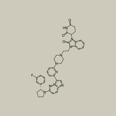 O=C1CCC(n2c(=O)n(CCN3CCN(c4cccc(-c5cnc6ccc(N7CCC[C@@H]7c7cccc(F)c7)nn56)n4)CC3)c3ccccc32)C(=O)N1